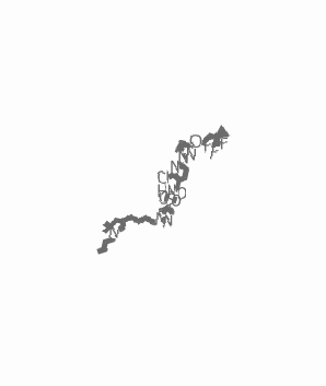 CCCCN1CC(CCCCn2cc(S(=O)(=O)NC(=O)c3ccc(-n4ccc(OCCC5(C(F)(F)F)CC5)n4)nc3Cl)cn2)CC1(C)C